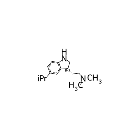 CC(C)c1ccc2c(c1)[C@@H](CCN(C)C)CN2